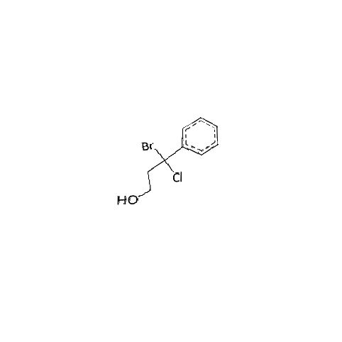 OCCC(Cl)(Br)c1ccccc1